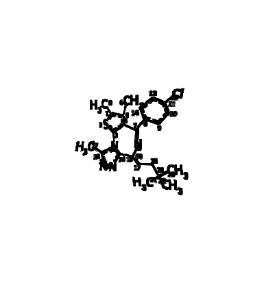 Cc1sc2c(c1C)C(c1ccc(Cl)cc1)=N[C@@H](CCC(C)(C)C)c1nnc(C)n1-2